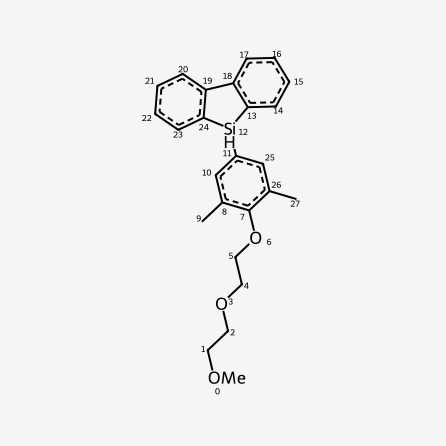 COCCOCCOc1c(C)cc([SiH]2c3ccccc3-c3ccccc32)cc1C